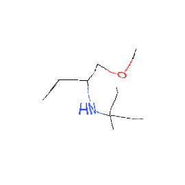 CCC(COC)NC(C)(C)C